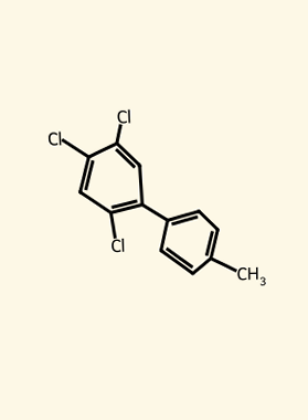 Cc1ccc(-c2cc(Cl)c(Cl)cc2Cl)cc1